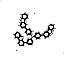 c1cc(-c2cccc3c2oc2ccccc23)cc(N(c2ccc(-c3ccc4sc5ccccc5c4c3)cc2)c2ccc(-c3ccc4sc5ccccc5c4c3)cc2)c1